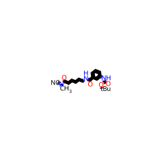 CN(C#N)C(=O)CCCCCNC(=O)c1cccc(NC(=O)OC(C)(C)C)c1